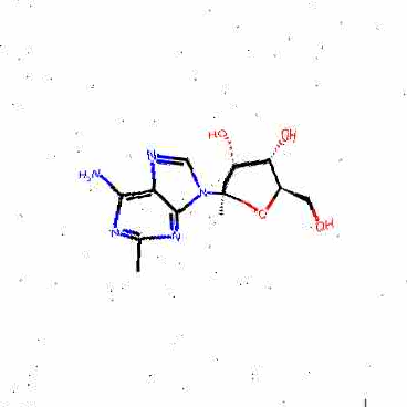 Cc1nc(N)c2ncn([C@]3(C)O[C@H](CO)[C@@H](O)[C@H]3O)c2n1